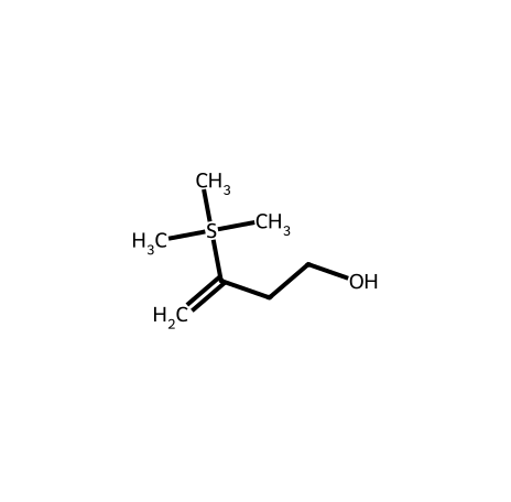 C=C(CCO)S(C)(C)C